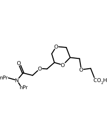 CCCN(CCC)C(=O)COCC1COCC(COCC(=O)O)O1